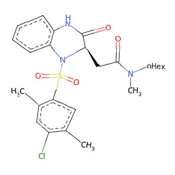 CCCCCCN(C)C(=O)C[C@@H]1C(=O)Nc2ccccc2N1S(=O)(=O)c1cc(C)c(Cl)cc1C